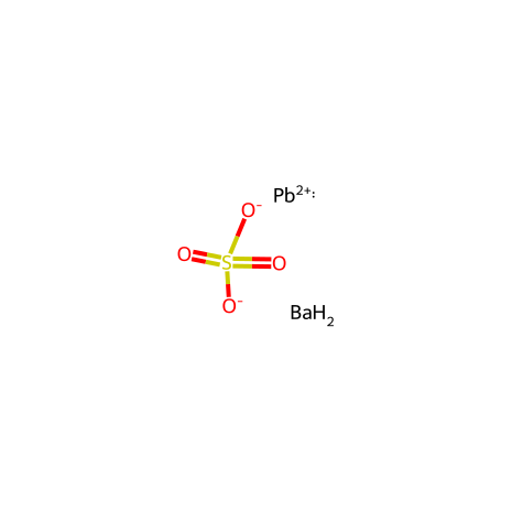 O=S(=O)([O-])[O-].[BaH2].[Pb+2]